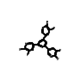 Fc1cc(-c2cc(-c3cnc(F)c(F)c3)nc(-c3cnc(F)c(F)c3)c2)cnc1F